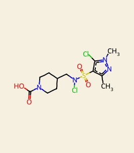 Cc1nn(C)c(Cl)c1S(=O)(=O)N(Cl)CC1CCN(C(=O)O)CC1